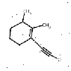 CC1=C(C#CCl)CCCC1C